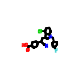 N#C/C(=C\c1cn(Cc2ccc(F)cc2)c2cccc(Cl)c12)c1ccc(C(=O)O)cc1